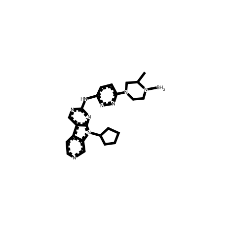 BN1CCN(c2ccc(Nc3ncc4c5ccncc5n(C5CCCC5)c4n3)nn2)CC1C